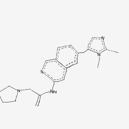 C=C(CN1CCCC1)Nc1cc2cc(-c3cnc(C)n3C)ccc2cn1